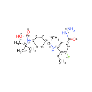 CCc1c(F)cc(C(=O)NN)cc1N[C@@H](C)C1CCC(N(C(=O)O)C(C)(C)C)CC1